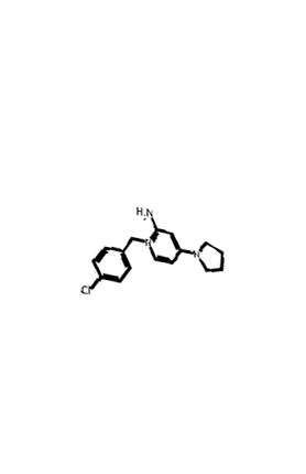 Nc1cc(N2CCCC2)cc[n+]1Cc1ccc(Cl)cc1